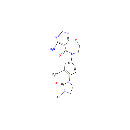 CCN1CCN(c2ccc(N3CCOc4ncnc(N)c4C3=O)cc2C(F)(F)F)C1=O